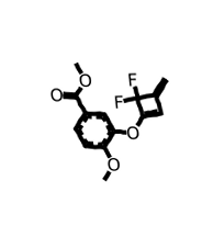 C=C1C=C(Oc2cc(C(=O)OC)ccc2OC)C1(F)F